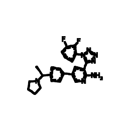 C[C@@H](c1ccc(-c2cnc(N)c(-c3nnnn3-c3cccc(F)c3F)c2)cc1)N1CCCC1